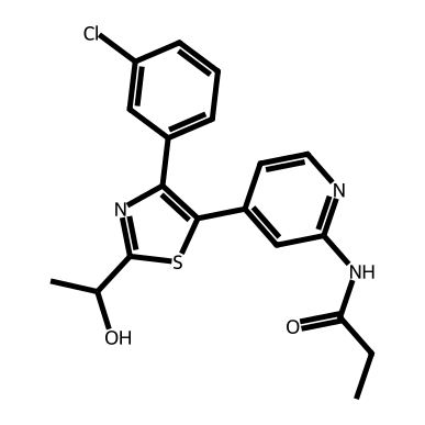 CCC(=O)Nc1cc(-c2sc(C(C)O)nc2-c2cccc(Cl)c2)ccn1